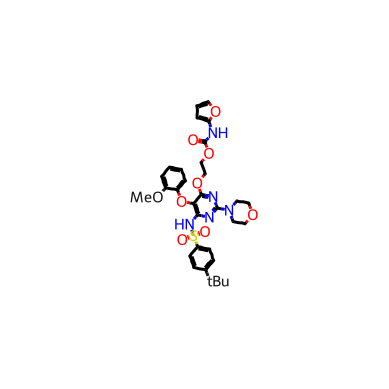 COc1ccccc1Oc1c(NS(=O)(=O)c2ccc(C(C)(C)C)cc2)nc(N2CCOCC2)nc1OCCOC(=O)Nc1ccco1